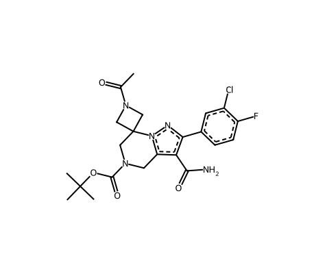 CC(=O)N1CC2(C1)CN(C(=O)OC(C)(C)C)Cc1c(C(N)=O)c(-c3ccc(F)c(Cl)c3)nn12